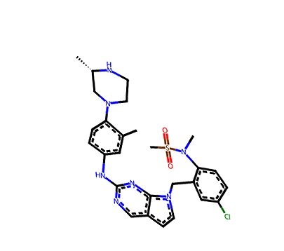 Cc1cc(Nc2ncc3ccn(Cc4cc(Cl)ccc4N(C)S(C)(=O)=O)c3n2)ccc1N1CCN[C@@H](C)C1